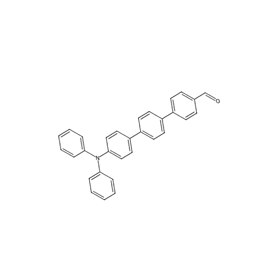 O=Cc1ccc(-c2ccc(-c3ccc(N(c4ccccc4)c4ccccc4)cc3)cc2)cc1